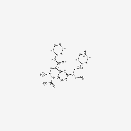 CC(=O)N1c2ccc(C(CN)CNC3CCNCC3)cc2N(C(=O)OC2CCCCC2)C[C@@H]1C